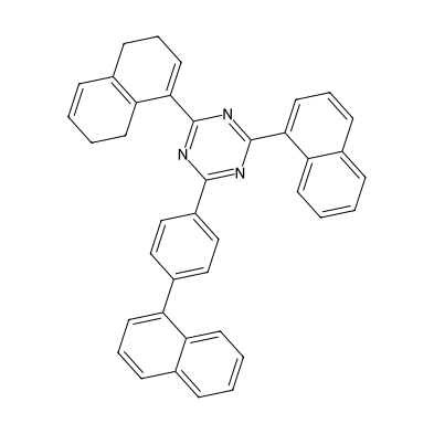 C1=CC2=C(CC1)C(c1nc(-c3ccc(-c4cccc5ccccc45)cc3)nc(-c3cccc4ccccc34)n1)=CCC2